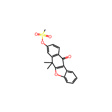 CC1(C)c2cc(OS(C)(=O)=O)ccc2C(=O)c2c1oc1ccccc21